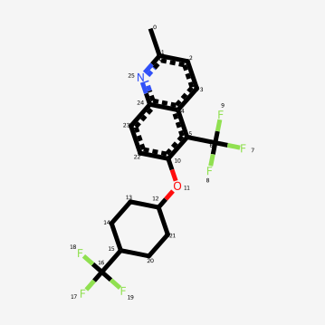 Cc1ccc2c(C(F)(F)F)c(OC3CCC(C(F)(F)F)CC3)ccc2n1